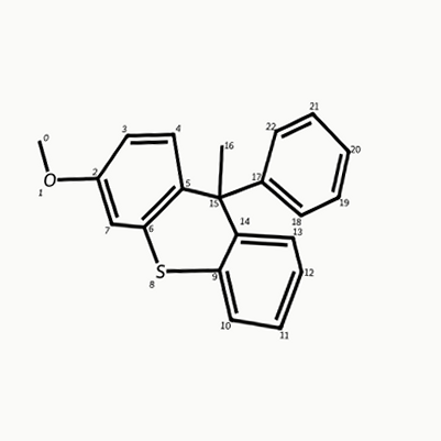 COc1ccc2c(c1)Sc1ccccc1C2(C)c1ccccc1